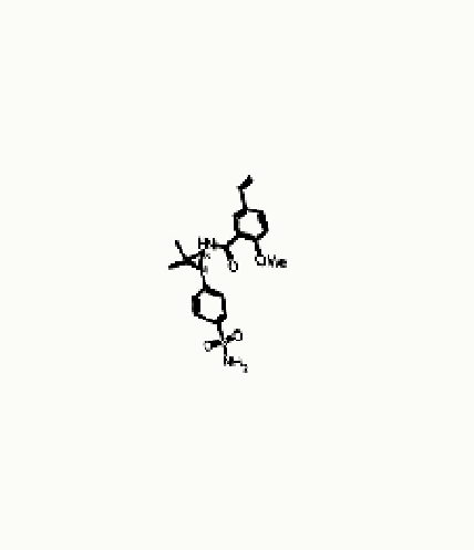 C=Cc1ccc(OC)c(C(=O)N[C@@H]2[C@@H](c3ccc(S(N)(=O)=O)cc3)C2(C)C)c1